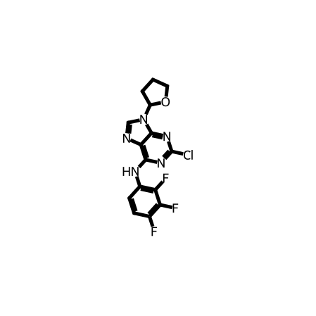 Fc1ccc(Nc2nc(Cl)nc3c2ncn3C2CCCO2)c(F)c1F